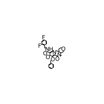 CN1C(=O)c2c(OCc3ccccc3)c(=O)c(C(=O)NCc3ccc(F)cc3F)cn2CC12CCOCC2